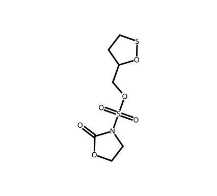 O=C1OCCN1S(=O)(=O)OCC1CCSO1